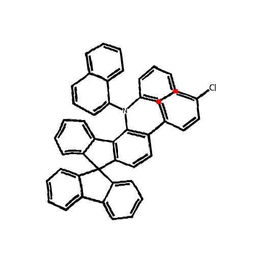 Clc1ccc(-c2ccc3c(c2N(c2ccccc2)c2cccc4ccccc24)-c2ccccc2C32c3ccccc3-c3ccccc32)cc1